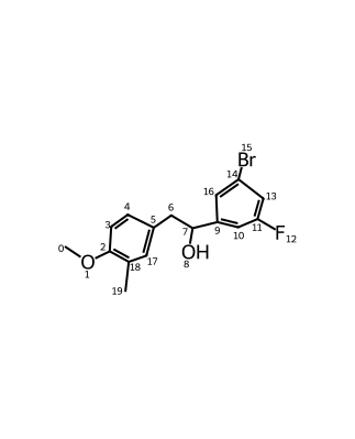 COc1ccc(CC(O)c2cc(F)cc(Br)c2)cc1C